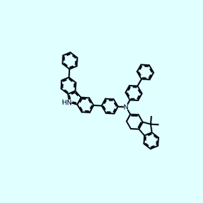 CC1(C)C2=C(CCC(N(c3ccc(-c4ccccc4)cc3)c3ccc(-c4ccc5[nH]c6ccc(-c7ccccc7)cc6c5c4)cc3)=C2)c2ccccc21